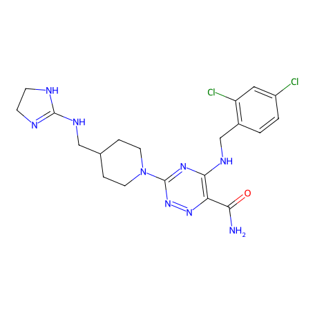 NC(=O)c1nnc(N2CCC(CNC3=NCCN3)CC2)nc1NCc1ccc(Cl)cc1Cl